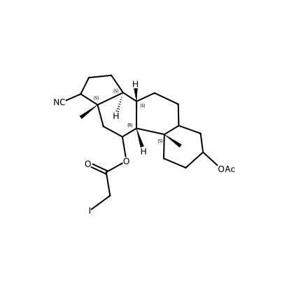 CC(=O)OC1CC[C@@]2(C)C(CC[C@@H]3[C@H]2C(OC(=O)CI)C[C@]2(C)C(C#N)CC[C@@H]32)C1